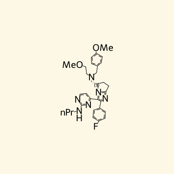 CCCNc1nccc(-c2c(-c3ccc(F)cc3)nc3n2[C@H](CN(CCOC)Cc2ccc(OC)cc2)CC3)n1